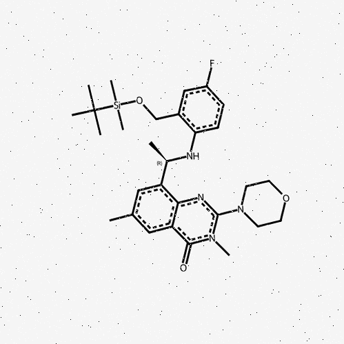 Cc1cc([C@@H](C)Nc2ccc(F)cc2CO[Si](C)(C)C(C)(C)C)c2nc(N3CCOCC3)n(C)c(=O)c2c1